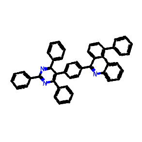 c1ccc(-c2nc(-c3ccccc3)c(-c3ccc(-c4nc5ccccc5c5c(-c6ccccc6)cccc45)cc3)c(-c3ccccc3)n2)cc1